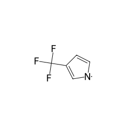 FC(F)(F)C1=C[N]C=C1